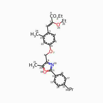 CCOC(=O)C(=Cc1ccc(OCc2nc(-c3ccc(C(C)C)cc3)oc2C)cc1C)OCC